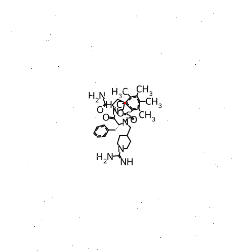 Cc1c(C)c(C)c(S(=O)(=O)N(CC2CCN(C(=N)N)CC2)[C@H](Cc2ccccc2)C(=O)N2CCC[C@H]2C(N)=O)c(C)c1C